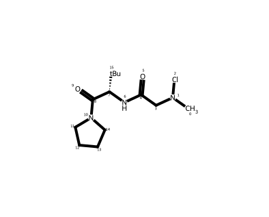 CN(Cl)CC(=O)N[C@H](C(=O)N1CCCC1)C(C)(C)C